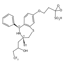 CC[C@]1(CC(O)CC(F)(F)F)CSc2cc(OCCC3(S(=O)(=O)O)OO3)ccc2[C@H](c2ccccc2)N1